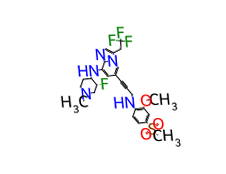 COc1cc(S(C)(=O)=O)ccc1NCC#Cc1cc(N[C@H]2CCN(C)C[C@H]2F)c2ncc(CC(F)(F)F)n2c1